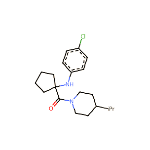 CC(C)C1CCN(C(=O)C2(Nc3ccc(Cl)cc3)CCCC2)CC1